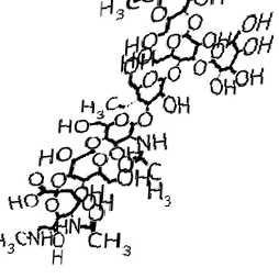 CC[C@@H]1C(CO)O[C@H](O[C@H]2C(CO)O[C@@H](O[C@@H]3C(CO)O[C@@H](OC)[C@@H](O)C3O)[C@@H](O)C2O[C@@H]2OC(CO)[C@@H](O)C(O)[C@@H]2O)C(O)[C@H]1O[C@@H]1OC(CO)[C@@H](O[C@@H]2OC(CO)[C@H](O)C(O[C@@]3(C(=O)O)C[C@@H](O)[C@H](NC(C)=O)C(C(O)CNC)O3)[C@@H]2O)C(O)[C@@H]1NC(C)=O